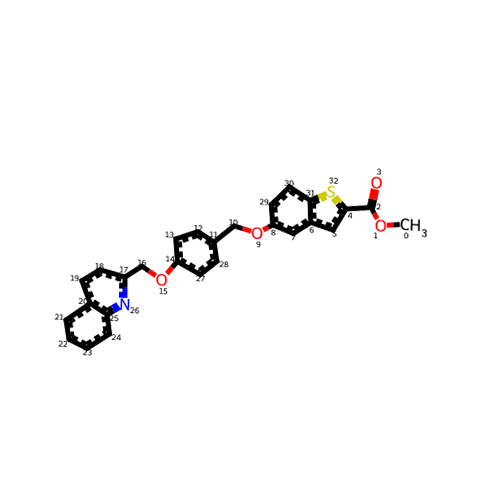 COC(=O)c1cc2cc(OCc3ccc(OCc4ccc5ccccc5n4)cc3)ccc2s1